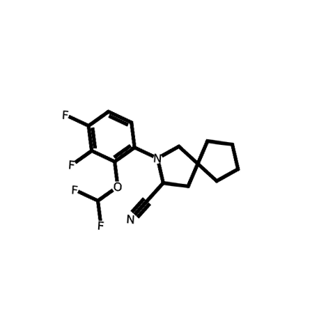 N#CC1CC2(CCCC2)CN1c1ccc(F)c(F)c1OC(F)F